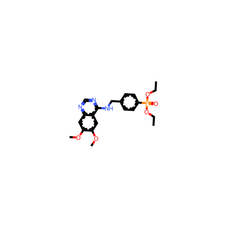 CCOP(=O)(OCC)c1ccc(CNc2ncnc3cc(OC)c(OC)cc23)cc1